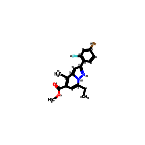 CCc1cc(C(=O)OC)c(C)c2cc(-c3ccc(Br)cc3F)nn12